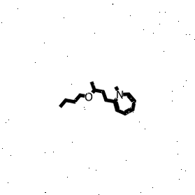 CCCCO[C](C)CCC1=CC=CC=CN1C